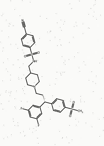 CS(=O)(=O)c1ccc([C@@H](CCN2CCC(CNS(=O)(=O)c3ccc(C#N)cc3)CC2)c2cc(F)cc(F)c2)cc1